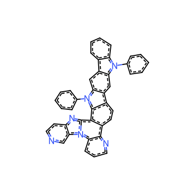 c1ccc(-n2c3ccccc3c3cc4c(cc32)c2ccc3c5ncccc5n5c6cnccc6nc5c3c2n4-c2ccccc2)cc1